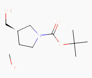 CC(C)(C)OC(=O)N1C[C@H](CO)[C@@H](CO)C1